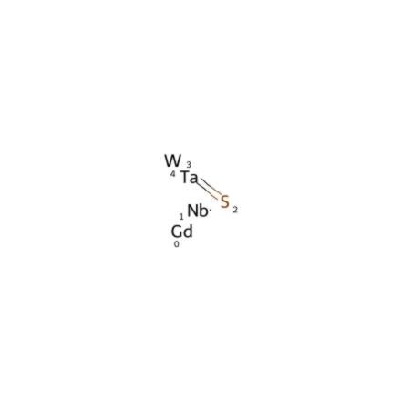 [Gd].[Nb].[S]=[Ta].[W]